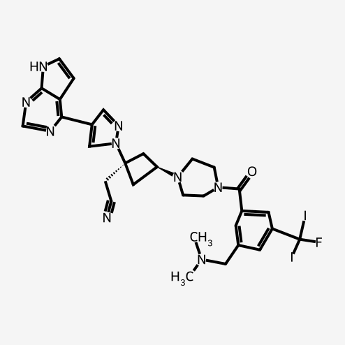 CN(C)Cc1cc(C(=O)N2CCN([C@H]3C[C@@](CC#N)(n4cc(-c5ncnc6[nH]ccc56)cn4)C3)CC2)cc(C(F)(I)I)c1